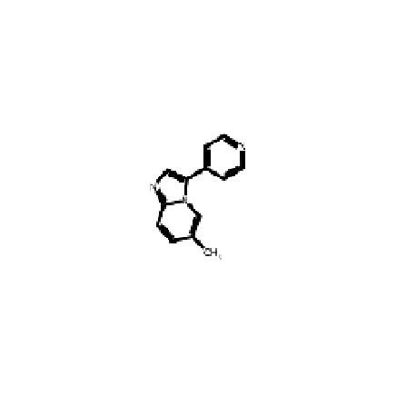 Cc1ccc2ncc(-c3ccncc3)n2c1